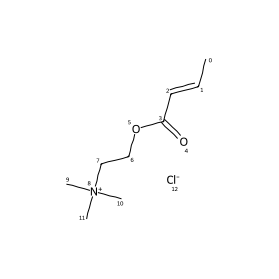 CC=CC(=O)OCC[N+](C)(C)C.[Cl-]